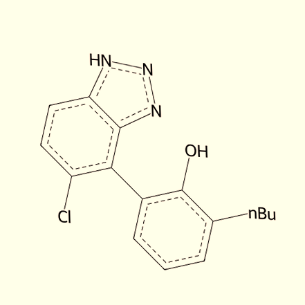 CCCCc1cccc(-c2c(Cl)ccc3[nH]nnc23)c1O